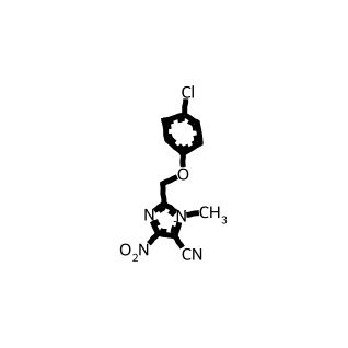 Cn1c(COc2ccc(Cl)cc2)nc([N+](=O)[O-])c1C#N